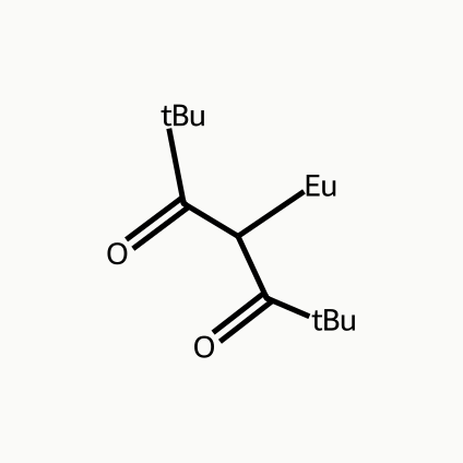 CC(C)(C)C(=O)[CH]([Eu])C(=O)C(C)(C)C